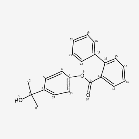 CC(C)(O)c1ccc(OC(=O)c2ccccc2-c2ccccc2)cc1